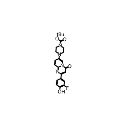 CC(C)(C)OC(=O)N1CCN(c2ccc3nc(-c4ccc(O)c(F)c4)cc(=O)n3c2)CC1